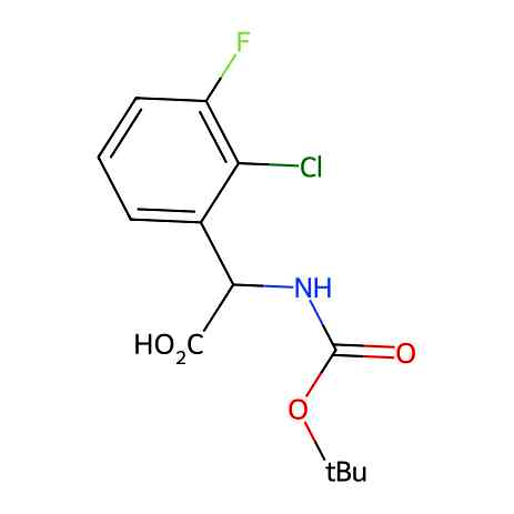 CC(C)(C)OC(=O)NC(C(=O)O)c1cccc(F)c1Cl